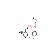 Cc1ccc(C)cc1.Cc1cccc(CCO)c1.OCC[CH2][Au].[Au].[Au]